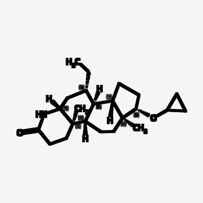 CC[C@H]1C[C@H]2NC(=O)CC[C@]2(C)[C@H]2CC[C@]3(C)[C@@H](OC4CC4)CC[C@H]3[C@H]12